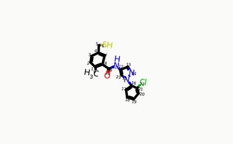 Cc1ccc(CS)cc1C(=O)Nc1cnn(-c2ccccc2Cl)c1